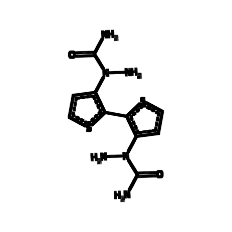 NC(=O)N(N)c1ccsc1-c1sccc1N(N)C(N)=O